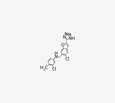 Cc1ccc(NCc2cc3oc(-c4nnn[nH]4)cc3cc2Cl)cc1Cl